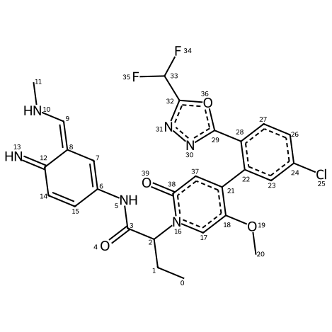 CCC(C(=O)NC1=C/C(=C/NC)C(=N)C=C1)n1cc(OC)c(-c2cc(Cl)ccc2-c2nnc(C(F)F)o2)cc1=O